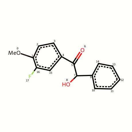 COc1ccc(C(=O)C(O)c2ccccc2)cc1F